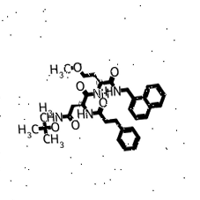 COCC[C@H](NC(=O)[C@H](CC(=O)NOC(C)(C)C)NC(=O)CCc1ccccc1)C(=O)NCc1cccc2ccccc12